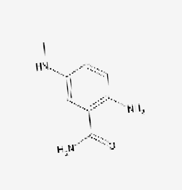 CNc1ccc(N)c(C(N)=O)c1